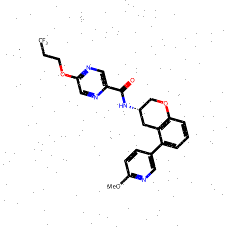 COc1ccc(-c2cccc3c2C[C@H](NC(=O)c2cnc(OCCC(F)(F)F)cn2)CO3)cn1